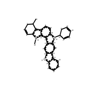 CC1CC=Cc2c1c1ccc3c(c4cc5oc6ccccc6c5cc4n3C3C=CC=CC3)c1n2C